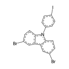 Brc1ccc2c(c1)c1cc(Br)ccc1n2-c1ccc(I)cc1